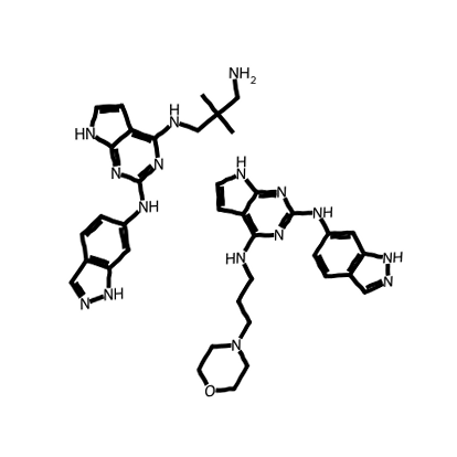 CC(C)(CN)CNc1nc(Nc2ccc3cn[nH]c3c2)nc2[nH]ccc12.c1cc2c(NCCCN3CCOCC3)nc(Nc3ccc4cn[nH]c4c3)nc2[nH]1